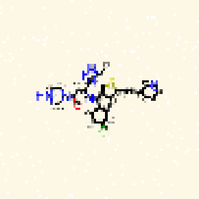 Cc1c(C#Cc2cccnc2)sc2c1C(c1ccc(Cl)cc1)=N[C@@H](CC(=O)N1CCNCC1)c1nnc(C)n1-2